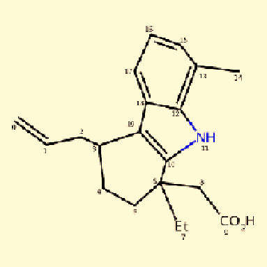 C=CCC1CCC(CC)(CC(=O)O)c2[nH]c3c(C)cccc3c21